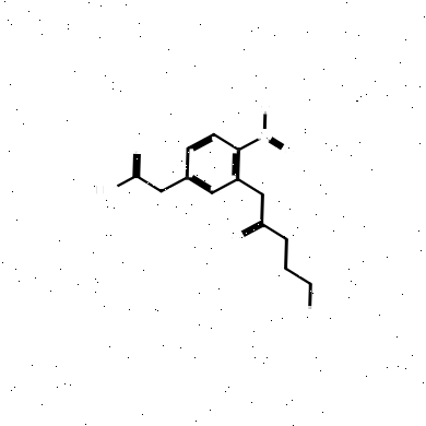 CCCCC(=O)Cc1cc(CC(=O)O)ccc1[N+](=O)[O-]